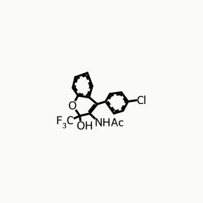 CC(=O)NC1=C(c2ccc(Cl)cc2)c2ccccc2OC1(O)C(F)(F)F